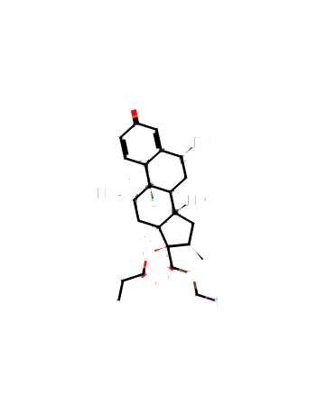 CCC(=O)O[C@]1(C(=O)SCI)[C@H](C)C[C@H]2C3C[C@H](F)C4=CC(=O)C=C[C@]4(C)[C@@]3(F)[C@@H](O)C[C@@]21C